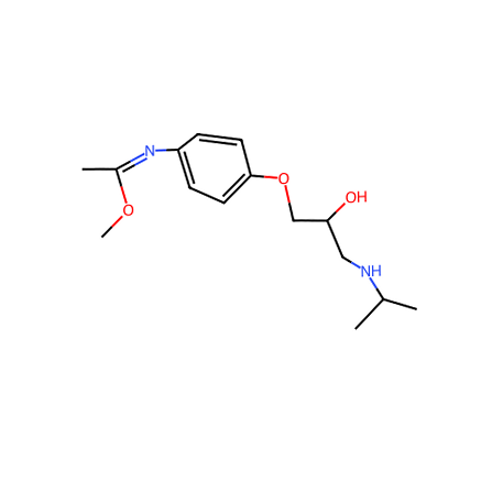 CO/C(C)=N\c1ccc(OCC(O)CNC(C)C)cc1